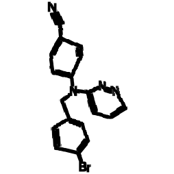 N#Cc1ccc(N(Cc2ccc(Br)cc2)c2cccnn2)cc1